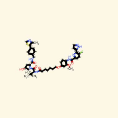 COc1cc(OCCCCCCC(=O)N[C@H](C(=O)N2C[C@H](O)C[C@H]2C(=O)NCc2ccc(-c3scnc3C)cc2)C(C)(C)C)ccc1NC(=O)c1ccc(F)c(-c2ccn[nH]2)n1